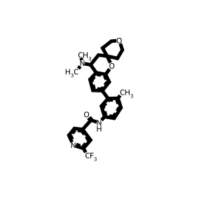 Cc1ccc(NC(=O)c2ccnc(C(F)(F)F)c2)cc1-c1ccc2c(c1)OC1(CCOCC1)CC2N(C)C